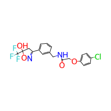 O=C(COc1ccc(Cl)cc1)NCc1cccc(C2=NOC(O)(C(F)(F)F)C2)c1